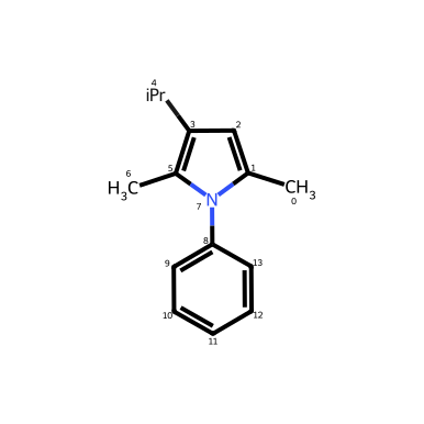 Cc1cc(C(C)C)c(C)n1-c1ccccc1